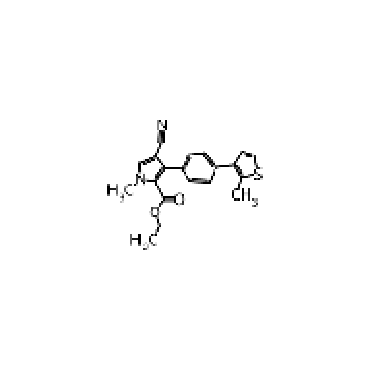 CCOC(=O)c1c(-c2ccc(-c3ccsc3C)cc2)c(C#N)cn1C